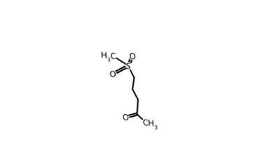 CC(=O)CCCS(C)(=O)=O